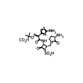 CC(C)(O/N=C(\C(=O)N[C@@H]1C(=O)N(S(=O)(=O)O)[C@@H]1CN1CC[C@@H](N)C1=O)c1csc(N)n1)C(=O)O